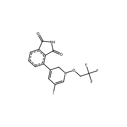 O=C1NC(=O)c2c1cccc2C1=CC(I)=CN(OCC(F)(F)F)C1